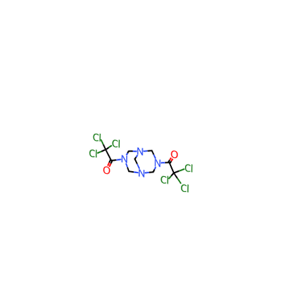 O=C(N1CN2CN(C1)CN(C(=O)C(Cl)(Cl)Cl)C2)C(Cl)(Cl)Cl